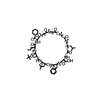 CC[C@H](C)[C@H]1C(=O)N[C@H](C(=O)N2CCCCC2)C(=O)N(C)[C@H](C)C(=O)N(C)[C@H](C)C(=O)CN(C)CC(=O)N(C)C[C@@H](CC(C)C)CC(=O)CN[C@@H]([C@@H](C)O)C(=O)N(C)[C@@H](Cc2ccccc2)C(=O)N(C)C[C@@H](CC(C)C)C(=O)NC[C@@H](COC(C)(C)C)C(=O)N1C